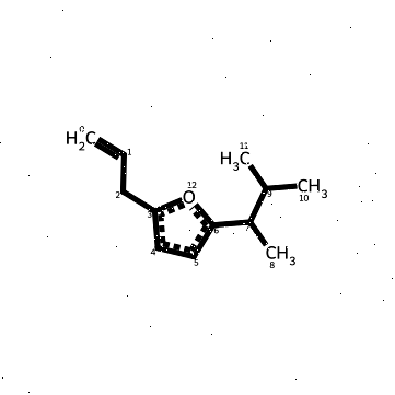 C=CCc1ccc(C(C)C(C)C)o1